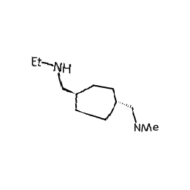 CCNC[C@H]1CC[C@H](CNC)CC1